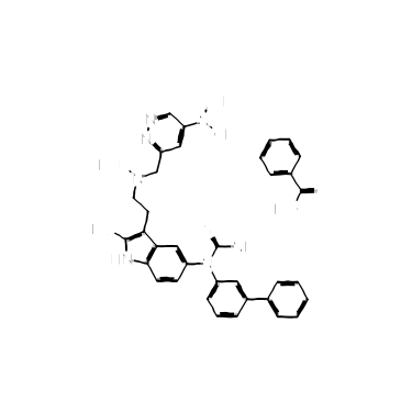 Cc1[nH]c2ccc(N(C(N)=S)c3cccc(-c4ccccc4)c3)cc2c1CCN(C)Cc1cc(N(C)C)cnn1.O=C(O)c1ccccc1